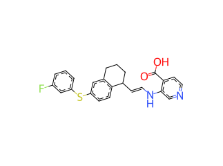 O=C(O)c1ccncc1N/C=C/C1CCCc2cc(Sc3cccc(F)c3)ccc21